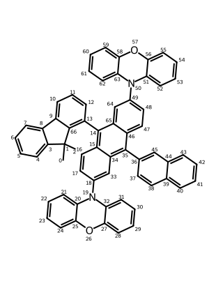 CC1(C)c2ccccc2-c2cccc(-c3c4ccc(N5c6ccccc6Oc6ccccc65)cc4c(-c4ccc5ccccc5c4)c4ccc(N5c6ccccc6Oc6ccccc65)cc34)c21